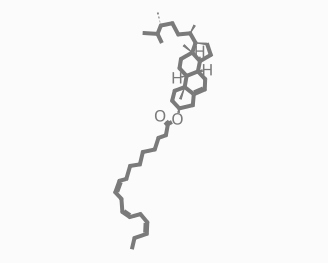 CC/C=C\C/C=C\C/C=C\CCCCCCCC(=O)O[C@H]1CC[C@@]2(C)C(=CC[C@H]3[C@@H]4CC[C@H]([C@H](C)CC[C@@H](C)C(C)C)[C@@]4(C)CC[C@@H]32)C1